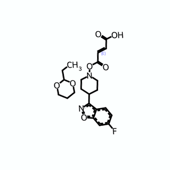 CCC1OCCCO1.O=C(O)/C=C/C(=O)ON1CCC(c2noc3cc(F)ccc23)CC1